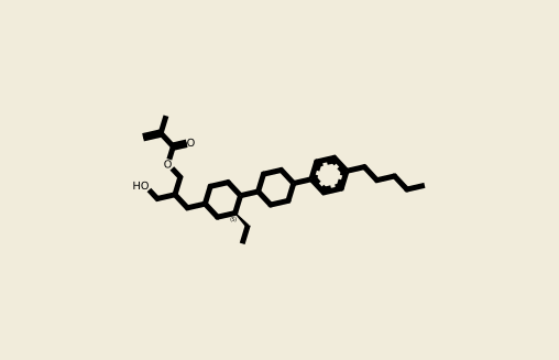 C=C(C)C(=O)OCC(CO)CC1CCC(C2CCC(c3ccc(CCCCC)cc3)CC2)[C@@H](CC)C1